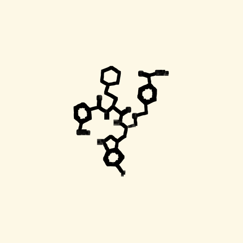 COC(=O)c1ccc(COC[C@H](CC2CNc3ccc(F)cc32)NC(=O)[C@H](CCC2CCCCC2)NC(=O)c2cccc(OC)c2)cc1